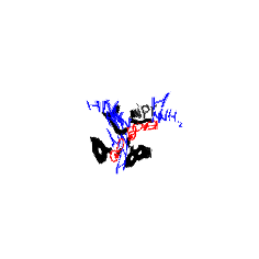 CC(C)C[C@H](NC(=O)C(Cc1c[nH]cn1)NC(=O)[C@H](Cc1cccc2ccccc12)NC(=O)OCc1ccccc1)[C@@H](O)CC(=O)NN